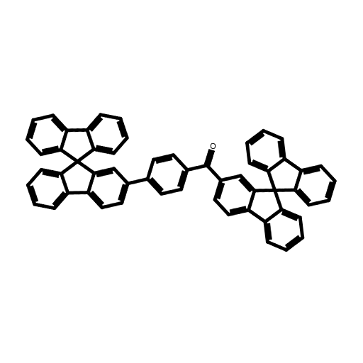 O=C(c1ccc(-c2ccc3c(c2)C2(c4ccccc4-c4ccccc42)c2ccccc2-3)cc1)c1ccc2c(c1)C1(c3ccccc3-c3ccccc31)c1ccccc1-2